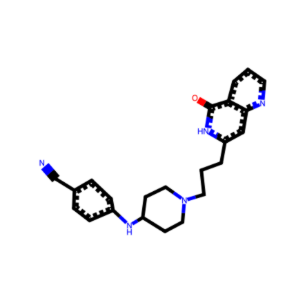 N#Cc1ccc(NC2CCN(CCCc3cc4ncccc4c(=O)[nH]3)CC2)cc1